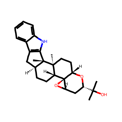 CC(C)(O)[C@@H]1C[C@H]2O[C@@]23[C@H](CC[C@@]2(C)[C@H]3CC[C@H]3Cc4c([nH]c5ccccc45)[C@@]32C)O1